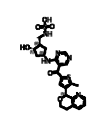 Cc1sc(C(=O)c2cncnc2N[C@H]2C[C@H](O)[C@@H]([CH]NS(=O)(=O)O)C2)cc1[C@@H]1OCCc2cccnc21